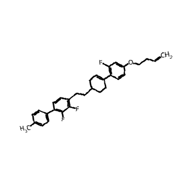 C=CCCOc1ccc(C2=CCC(CCc3ccc(-c4ccc(C)cc4)c(F)c3F)CC2)c(F)c1